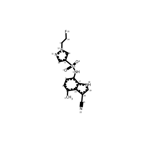 Cc1ccc(NS(=O)(=O)c2cnn(CCF)c2)c2[nH]cc(C#N)c12